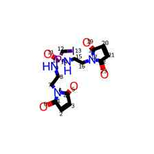 O=C1C=CC(=O)N1CCNP(=O)(CI)NCCN1C(=O)C=CC1=O